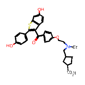 CCN(CCOc1ccc(C(=O)c2c(-c3ccc(O)cc3)sc3cc(O)ccc23)cc1)CC1CCC(C(=O)O)C1